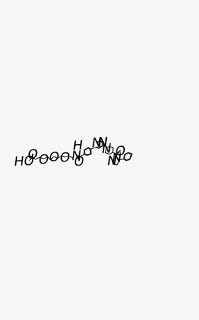 O=C(O)CCOCCOCCOCCNC(=O)c1ccc(-c2cc(N3CCC(C(=O)N4N=CCC4c4ccccc4)CC3)ncn2)cc1